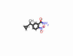 CC(c1ccc([N+](=O)[O-])c(C(N)=O)c1)C1CC1